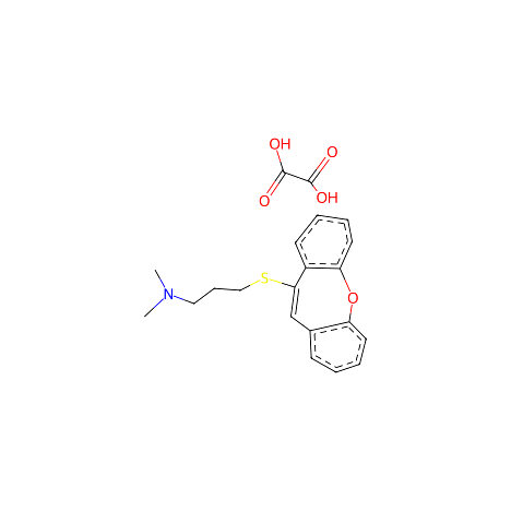 CN(C)CCCSC1=Cc2ccccc2Oc2ccccc21.O=C(O)C(=O)O